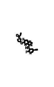 C#Cc1cnc(F)c(Nc2ncnc3cc(F)c(O[C@H]4CCN(C(=O)C=C)C4)nc23)c1